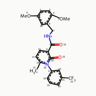 COc1ccc(OC)c(CNC(=O)c2ccc(C)n(-c3cccc(C(F)(F)F)c3)c2=O)c1